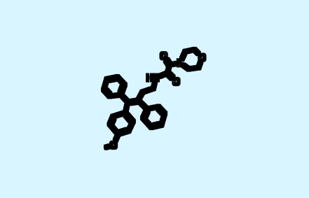 COc1ccc(/C(=C(/CCNC(=O)C(=O)N2CCOCC2)c2ccccc2)c2ccccc2)cc1